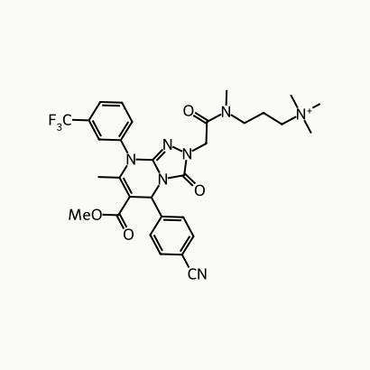 COC(=O)C1=C(C)N(c2cccc(C(F)(F)F)c2)c2nn(CC(=O)N(C)CCC[N+](C)(C)C)c(=O)n2C1c1ccc(C#N)cc1